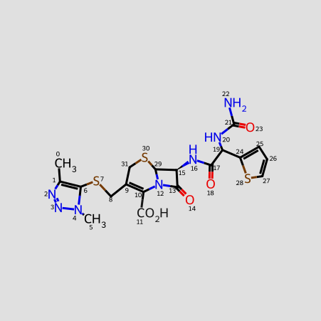 Cc1nnn(C)c1SCC1=C(C(=O)O)N2C(=O)[C@H](NC(=O)C(NC(N)=O)c3cccs3)C2SC1